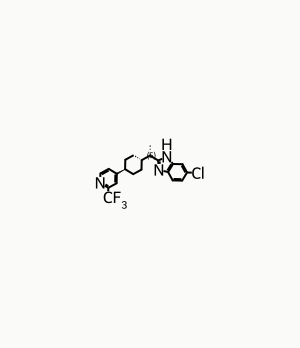 C[C@H](c1nc2ccc(Cl)cc2[nH]1)[C@H]1CC[C@H](c2ccnc(C(F)(F)F)c2)CC1